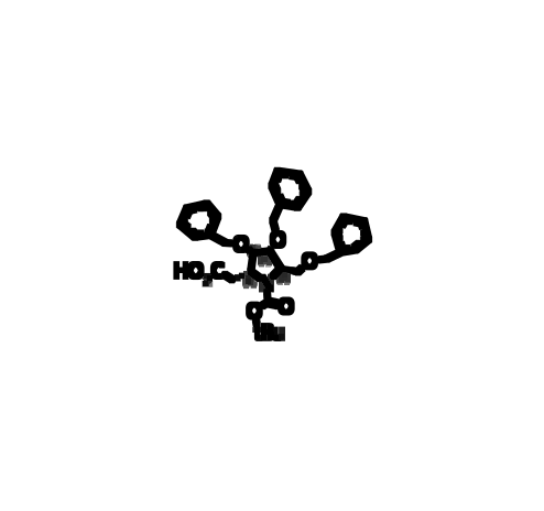 CC(C)(C)OC(=O)N1[C@H](COCc2ccccc2)[C@@H](OCc2ccccc2)[C@H](OCc2ccccc2)[C@H]1CC(=O)O